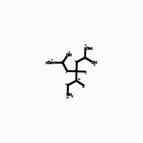 CCCCCCCCCCC(O)CC(C)(CC(O)CCCCCCCCCC)C(C)CN